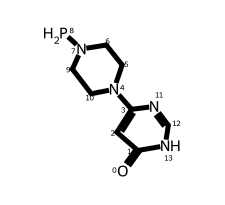 O=c1cc(N2CCN(P)CC2)nc[nH]1